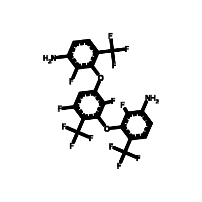 Nc1ccc(C(F)(F)F)c(Oc2cc(F)c(C(F)(F)F)c(Oc3c(C(F)(F)F)ccc(N)c3F)c2F)c1F